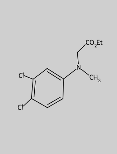 CCOC(=O)CN(C)c1ccc(Cl)c(Cl)c1